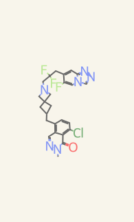 Cn1ncc2c(CC3CC4(C3)CN(CC(F)(F)Cc3cc5nncn5cc3F)C4)ccc(Cl)c2c1=O